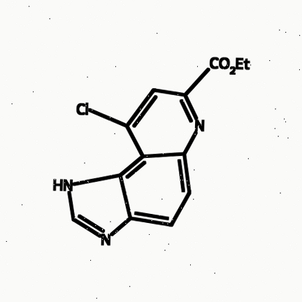 CCOC(=O)c1cc(Cl)c2c(ccc3nc[nH]c32)n1